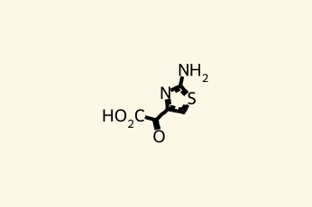 Nc1nc(C(=O)C(=O)O)cs1